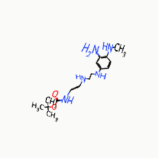 CNc1ccc(NCCNCCNC(=O)OC(C)(C)C)cc1N